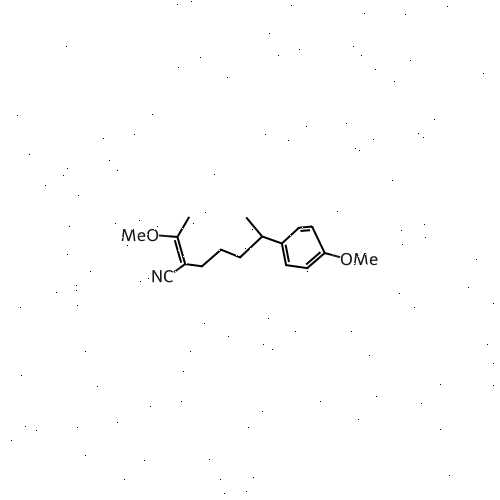 COC(C)=C(C#N)CCCC(C)c1ccc(OC)cc1